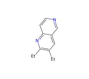 CCc1cc2cnccc2nc1CC